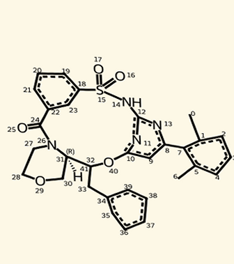 Cc1cccc(C)c1-c1cc2nc(n1)NS(=O)(=O)c1cccc(c1)C(=O)N1CCOC[C@@H]1C(Cc1ccccc1)O2